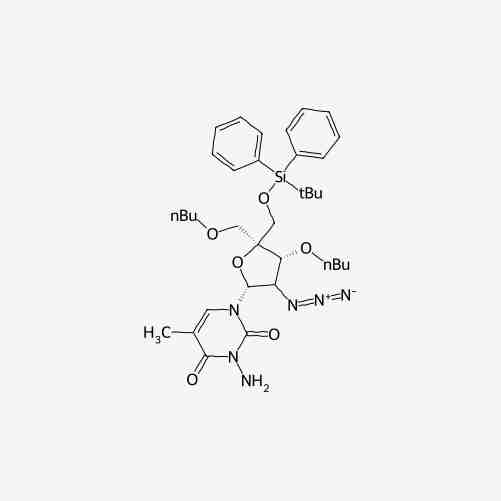 CCCCOC[C@@]1(CO[Si](c2ccccc2)(c2ccccc2)C(C)(C)C)O[C@@H](n2cc(C)c(=O)n(N)c2=O)C(N=[N+]=[N-])[C@H]1OCCCC